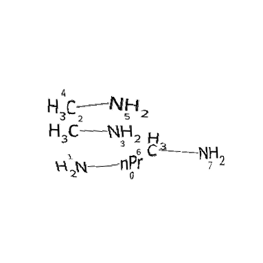 CCCN.CN.CN.CN